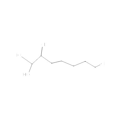 OC(O)C(Cl)CCCCCCl